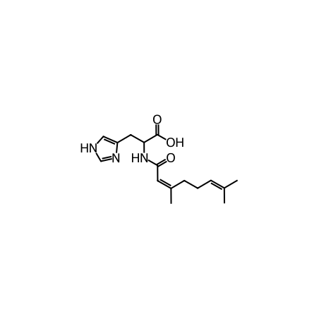 CC(C)=CCCC(C)=CC(=O)NC(Cc1c[nH]cn1)C(=O)O